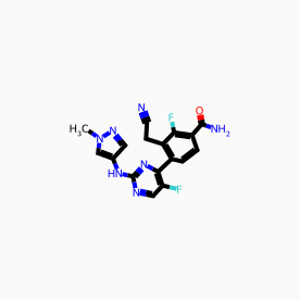 Cn1cc(Nc2ncc(F)c(-c3ccc(C(N)=O)c(F)c3CC#N)n2)cn1